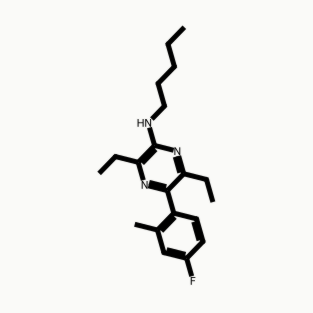 CCCCCNc1nc(CC)c(-c2ccc(F)cc2C)nc1CC